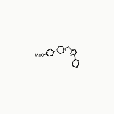 COc1ccc(N2CCN(Cc3ccc(-c4ccccc4)s3)CC2)cc1